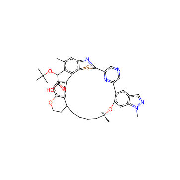 Cc1cc2nc3sc2c(c1C(OC(C)(C)C)C(=O)O)-c1ccc2c(c1)C(CCCC[C@H](C)Oc1cc4c(cnn4C)cc1-c1cncc-3n1)CCO2